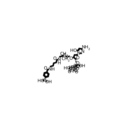 CC(C)(CNC(=O)CCCCNC(=O)c1ccc(B(O)O)cc1)SSCOC1C[C@H](N2CN=C(N)C=C2O)O[C@@H]1COP(=O)(O)OP(=O)(O)OP(=O)(O)O